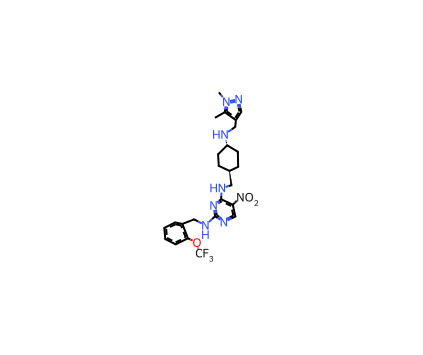 Cc1c(CN[C@H]2CC[C@H](CNc3nc(NCc4ccccc4OC(F)(F)F)ncc3[N+](=O)[O-])CC2)cnn1C